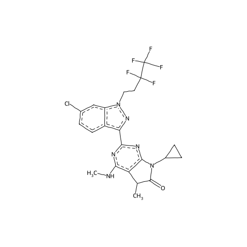 CNc1nc(-c2nn(CCC(F)(F)C(F)(F)F)c3cc(Cl)ccc23)nc2c1C(C)C(=O)N2C1CC1